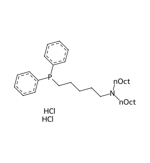 CCCCCCCCN(CCCCCCCC)CCCCCP(c1ccccc1)c1ccccc1.Cl.Cl